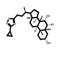 CC[C@H]1[C@@H](O)[C@@H]2[C@H](CC[C@]3(C)C([C@H](C)CCc4nc(C5CC5)no4)CC[C@@H]23)[C@@]2(C)CC[C@@H](O)C[C@@H]12